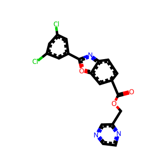 O=C(OCc1cnccn1)c1ccc2nc(-c3cc(Cl)cc(Cl)c3)oc2c1